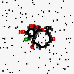 C[C@H]1CC2OC2CC/C=C/C(=O)Cc2c(Cl)c(O)cc(O)c2C(=O)O1